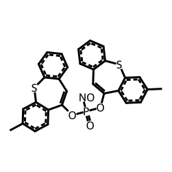 Cc1ccc2c(c1)Sc1ccccc1C=C2OP(=O)(N=O)OC1=Cc2ccccc2Sc2cc(C)ccc21